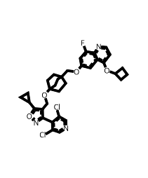 Fc1cc(OCC23CCC(OCc4c(-c5c(Cl)cncc5Cl)noc4C4CC4)(CC2)CC3)cc2c(OC3CCC3)ccnc12